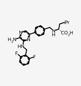 CC(C)C[C@@H](NCc1ccc(-c2cnc(N)c(NCc3c(F)cccc3F)n2)cc1)C(=O)O